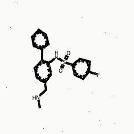 CNCc1ccc(-c2ccccc2)c(NS(=O)(=O)c2ccc(F)cc2)c1